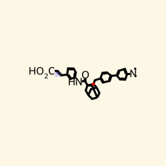 CN(C)c1ccc(-c2ccc(CC3C4CC5CC(C4)CC3(C(=O)Nc3cccc(/C=C/C(=O)O)c3)C5)cc2)cc1